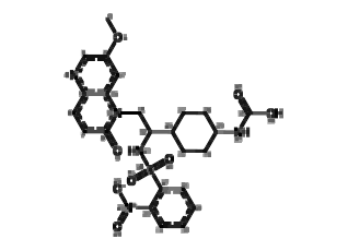 COc1cnc2ccc(=O)n(CC(NS(=O)(=O)c3ccccc3[N+](=O)[O-])C3CCC(NC(=O)O)CC3)c2c1